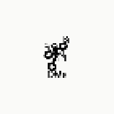 COc1ccc(CNc2nc3ccc(Br)cc3c(=O)n2-c2ccccc2C(C)C)cc1